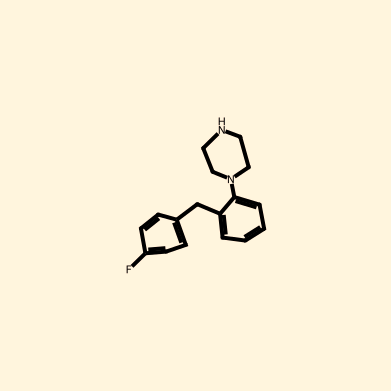 Fc1ccc(Cc2ccccc2N2CCNCC2)cc1